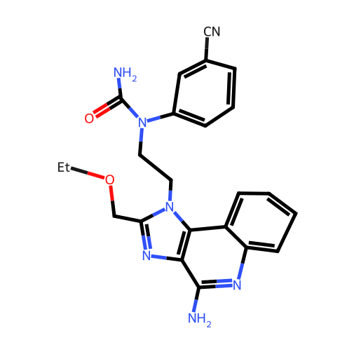 CCOCc1nc2c(N)nc3ccccc3c2n1CCN(C(N)=O)c1cccc(C#N)c1